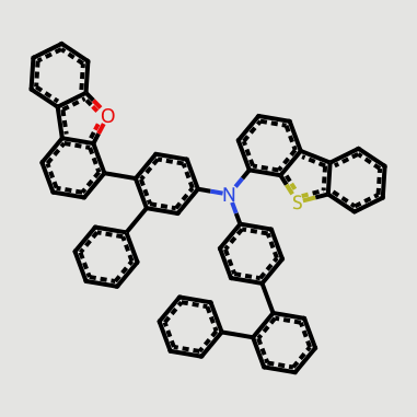 c1ccc(-c2ccccc2-c2ccc(N(c3ccc(-c4cccc5c4oc4ccccc45)c(-c4ccccc4)c3)c3cccc4c3sc3ccccc34)cc2)cc1